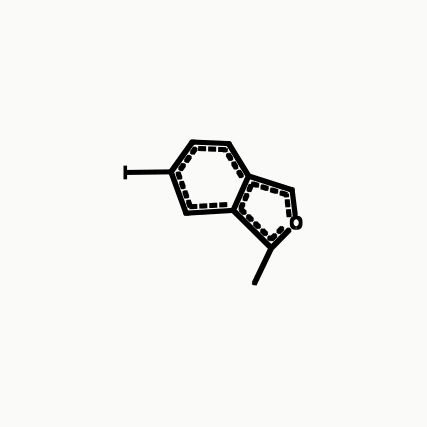 Cc1occ2ccc(I)cc12